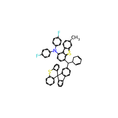 Cc1ccc2c(c1)sc1c(C(c3ccc4c(c3)C3(c5ccccc5Sc5ccccc53)c3ccccc3-4)C3C=CC=CC3)ccc(N(c3ccc(F)cc3)c3ccc(F)cc3)c12